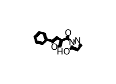 O=C(c1coc(-c2ccccc2)c1)n1nccc1O